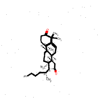 CC(C)CCC[C@@H](C)[C@H]1C(=O)C[C@H]2[C@@H]3CC=C4C(C)(C)C(=O)CC[C@]4(C)[C@H]3CC[C@]12C